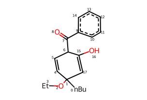 CCCCC1(OCC)C=CC(C(=O)c2ccccc2)C(O)=C1